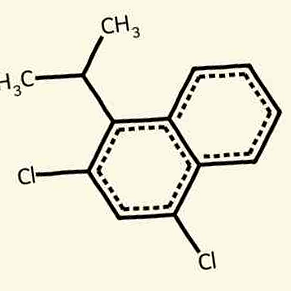 CC(C)c1c(Cl)cc(Cl)c2ccccc12